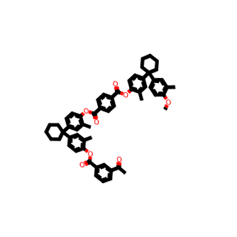 COc1ccc(C2(c3ccc(OC(=O)c4ccc(C(=O)Oc5ccc(C6(c7ccc(OC(=O)c8cccc(C(C)=O)c8)c(C)c7)CCCCC6)cc5C)cc4)c(C)c3)CCCCC2)cc1C